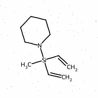 C=C[Si](C)(C=C)N1CCCCC1